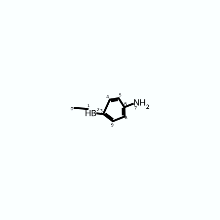 CCBc1ccc(N)cc1